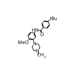 COc1ccc(NC(=O)c2ccc(C(C)(C)C)cc2)cc1N1CCN(C)CC1